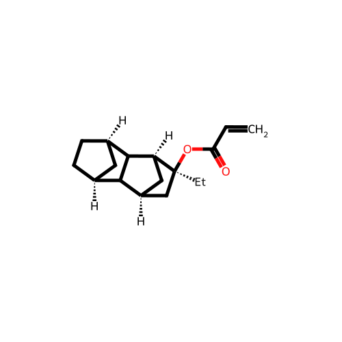 C=CC(=O)O[C@@]1(CC)C[C@@H]2C[C@H]1C1C2[C@H]2CC[C@@H]1C2